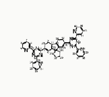 C1=C(c2nc(-c3ccccn3)nc(-c3ccccn3)n2)CCC2=C1C1(CCCC1)c1cc(-c3nc(-c4ccccn4)nc(-c4ccccn4)n3)ccc12